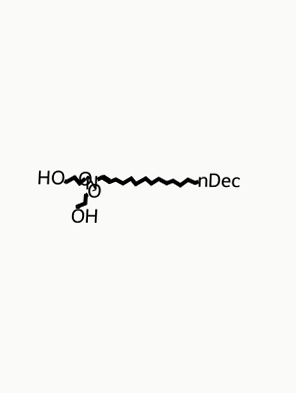 CCCCCCCCCCCCCCCCCCCCCCC=CN(OCCCO)OCCCO